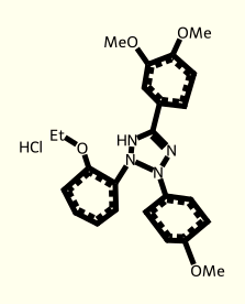 CCOc1ccccc1N1NC(c2ccc(OC)c(OC)c2)=NN1c1ccc(OC)cc1.Cl